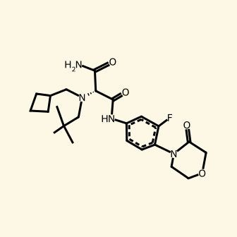 CC(C)(C)CN(CC1CCC1)[C@H](C(N)=O)C(=O)Nc1ccc(N2CCOCC2=O)c(F)c1